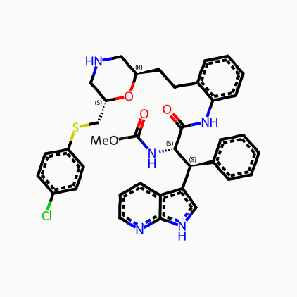 COC(=O)N[C@H](C(=O)Nc1ccccc1CC[C@@H]1CNC[C@@H](CSc2ccc(Cl)cc2)O1)[C@@H](c1ccccc1)c1c[nH]c2ncccc12